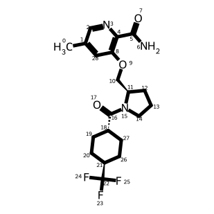 Cc1cnc(C(N)=O)c(OC[C@H]2CCCN2C(=O)[C@H]2CC[C@H](C(F)(F)F)CC2)c1